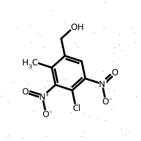 Cc1c(CO)cc([N+](=O)[O-])c(Cl)c1[N+](=O)[O-]